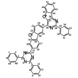 c1ccc(-c2nc(-c3ccccc3)nc(-c3ccc4c(c3)oc3ccc(-c5nc(-c6ccccc6)nc6c5oc5ccccc56)cc34)n2)cc1